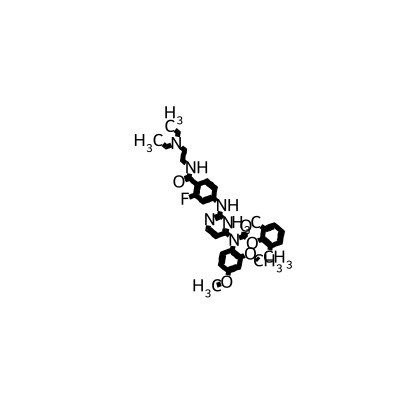 CCN(CC)CCNC(=O)c1ccc(Nc2nccc(N(C(=O)Oc3c(C)cccc3C)c3ccc(OC)cc3OC)n2)cc1F